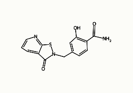 NC(=O)c1ccc(Cn2sc3ncccc3c2=O)cc1O